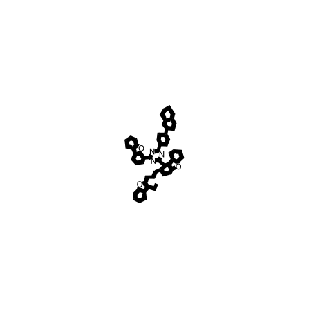 C\C=c1/c(=C\C=C\c2ccc3oc4ccccc4c3c2-c2nc(-c3ccc(-c4ccc5ccccc5c4)cc3)nc(-c3cccc4c3oc3ccccc34)n2)oc2ccccc12